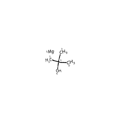 CC(C)(C)O.[Mg]